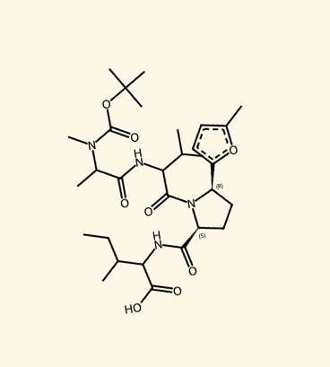 CCC(C)C(NC(=O)[C@@H]1CC[C@H](c2ccc(C)o2)N1C(=O)C(NC(=O)C(C)N(C)C(=O)OC(C)(C)C)C(C)C)C(=O)O